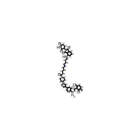 CC(Oc1cc(-c2cnn(C3CCN(C(=O)CCCC/C=C/CCCNc4cccc5c4C(=O)N(C4CCC(=O)NC4=O)C5=O)CC3)c2)cnc1N)c1c(Cl)ccc(F)c1Cl